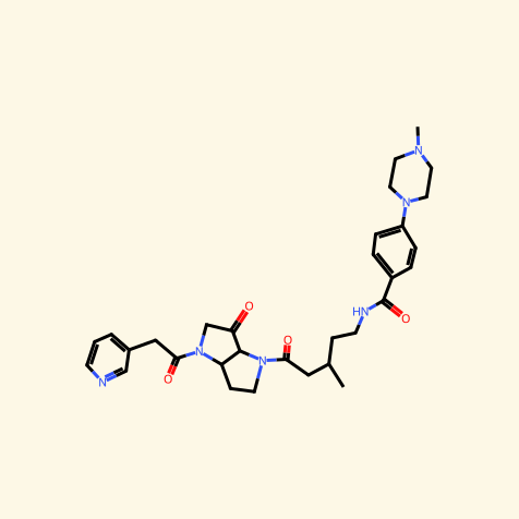 CC(CCNC(=O)c1ccc(N2CCN(C)CC2)cc1)CC(=O)N1CCC2C1C(=O)CN2C(=O)Cc1cccnc1